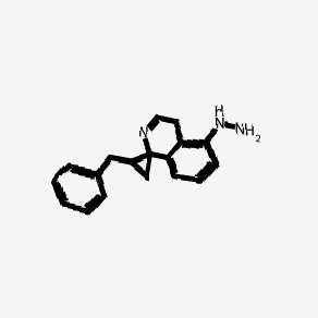 NNc1cccc2c1CC=NC21CC1Cc1ccccc1